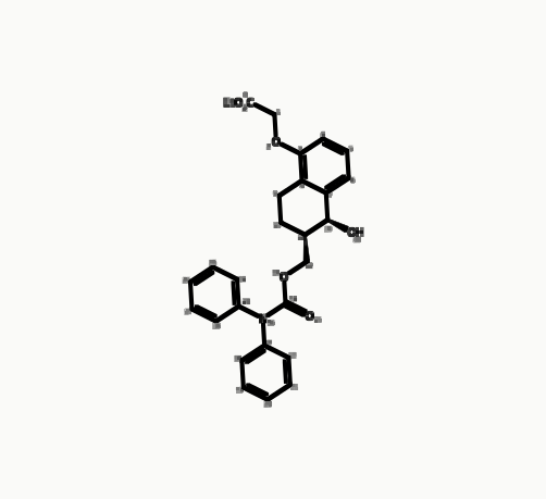 CCOC(=O)COc1cccc2c1CC[C@H](COC(=O)N(c1ccccc1)c1ccccc1)[C@@H]2O